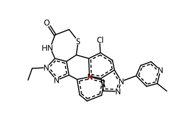 CCn1nc(-c2ccccn2)c2c1NC(=O)CSC2c1cc2cnn(-c3ccnc(C)c3)c2cc1Cl